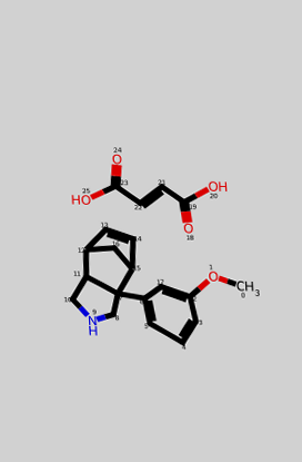 COc1cccc(C23CNCC2C2C=CC3C2)c1.O=C(O)C=CC(=O)O